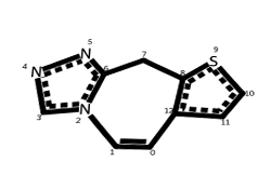 C1=Cn2cnnc2Cc2sccc21